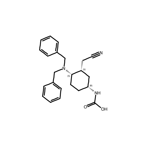 N#CC[C@@H]1C[C@H](NC(=O)O)CC[C@@H]1N(Cc1ccccc1)Cc1ccccc1